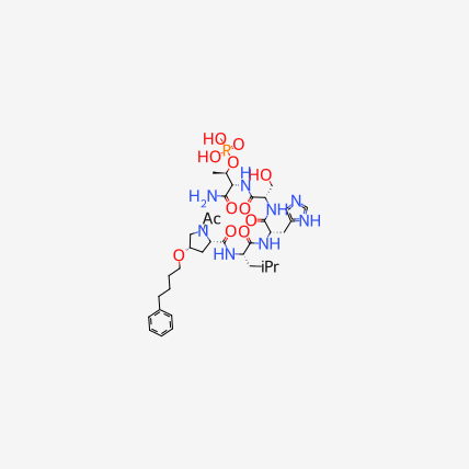 CC(=O)N1C[C@@H](OCCCCc2ccccc2)C[C@H]1C(=O)N[C@@H](CC(C)C)C(=O)N[C@@H](Cc1cnc[nH]1)C(=O)N[C@@H](CO)C(=O)N[C@H](C(N)=O)[C@@H](C)OP(=O)(O)O